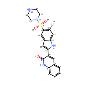 O=c1[nH]c2ccccc2cc1-c1cc2cc(S(=O)(=O)N3CCNCC3)c(Cl)cc2[nH]1